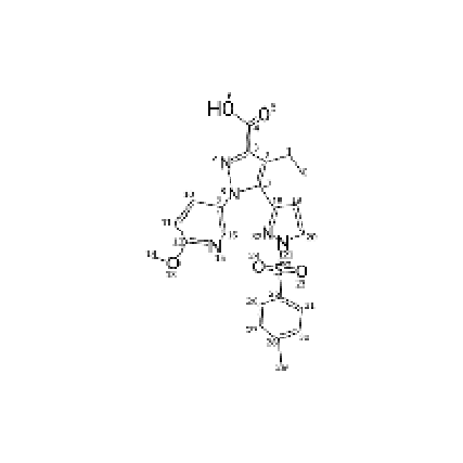 CCc1c(C(=O)O)nn(-c2ccc(OC)nc2)c1-c1ccn(S(=O)(=O)c2ccc(C)cc2)n1